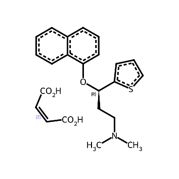 CN(C)CC[C@@H](Oc1cccc2ccccc12)c1cccs1.O=C(O)/C=C\C(=O)O